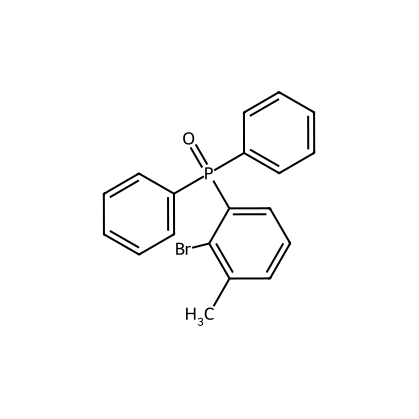 Cc1cccc(P(=O)(c2ccccc2)c2ccccc2)c1Br